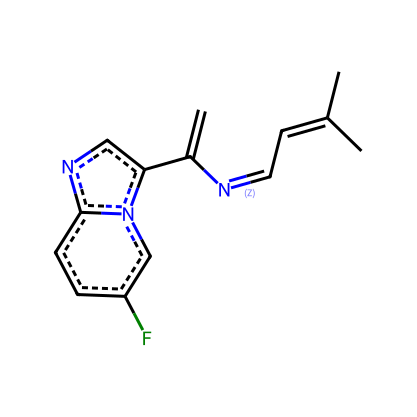 C=C(/N=C\C=C(C)C)c1cnc2ccc(F)cn12